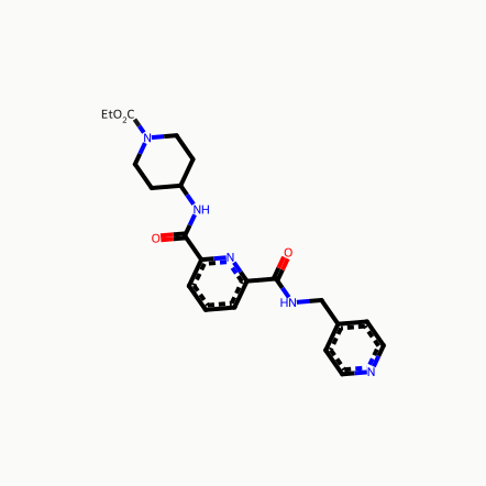 CCOC(=O)N1CCC(NC(=O)c2cccc(C(=O)NCc3ccncc3)n2)CC1